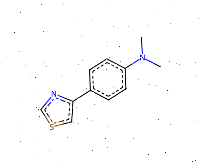 CN(C)c1ccc(-c2cs[c]n2)cc1